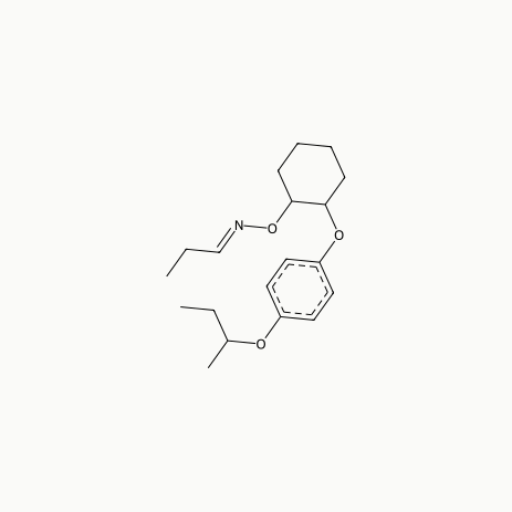 CCC=NOC1CCCCC1Oc1ccc(OC(C)CC)cc1